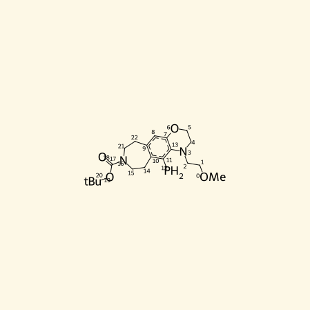 COCCN1CCOc2cc3c(c(P)c21)CCN(C(=O)OC(C)(C)C)CC3